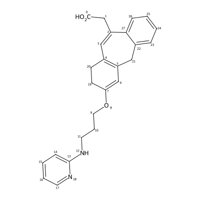 O=C(O)CC1=CC2=C(C=C(OCCCNc3ccccn3)CC2)Cc2ccccc21